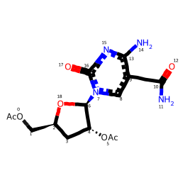 CC(=O)OC[C@@H]1C[C@@H](OC(C)=O)[C@H](n2cc(C(N)=O)c(N)nc2=O)O1